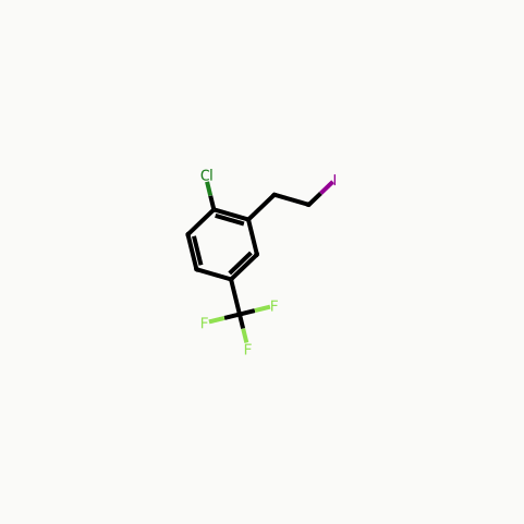 FC(F)(F)c1ccc(Cl)c(CCI)c1